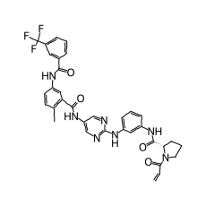 C=CC(=O)N1CCC[C@H]1C(=O)Nc1cccc(Nc2ncc(NC(=O)c3cc(NC(=O)c4cccc(C(F)(F)F)c4)ccc3C)cn2)c1